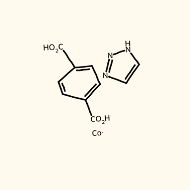 O=C(O)c1ccc(C(=O)O)cc1.[Co].c1c[nH]nn1